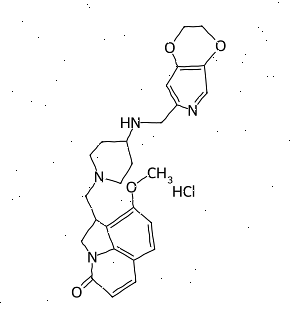 COc1ccc2ccc(=O)n3c2c1C(CN1CCC(NCc2cc4c(cn2)OCCO4)CC1)C3.Cl